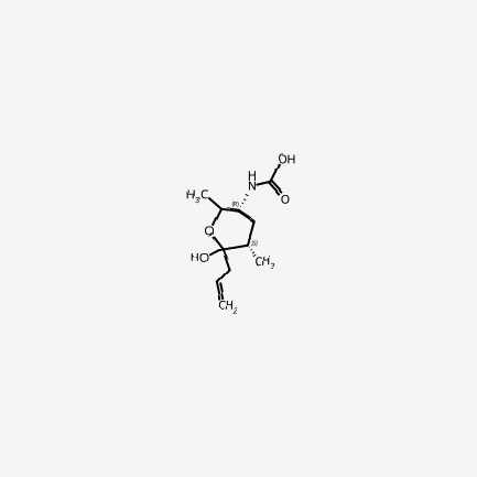 C=CCC1(O)OC(C)[C@H](NC(=O)O)C[C@@H]1C